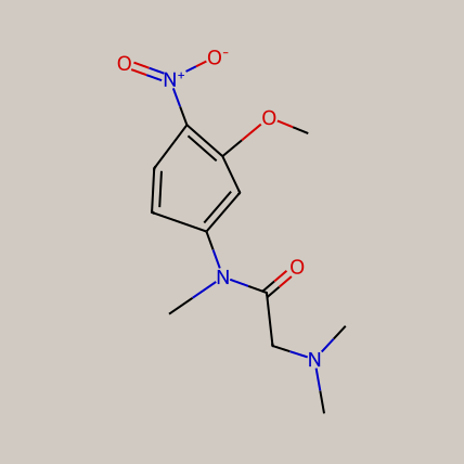 COc1cc(N(C)C(=O)CN(C)C)ccc1[N+](=O)[O-]